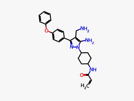 C=CC(=O)NC1CCC(n2nc(-c3ccc(Oc4ccccc4)cc3)c(CN)c2N)CC1